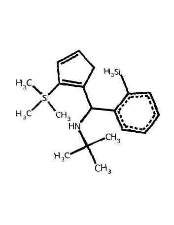 CC(C)(C)NC(C1=C([Si](C)(C)C)C=CC1)c1ccccc1[SiH3]